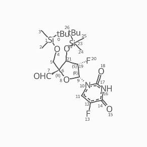 CC(C)(C)[Si](C)(C)OC[C@@]1(C=O)O[C@@H](n2cc(F)c(=O)[nH]c2=O)[C@@H](F)C1O[Si](C)(C)C(C)(C)C